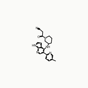 Cc1ccc(-c2cnc3[nH]ccc3c2NC2CCCN(C(=O)CC#N)C2)nc1